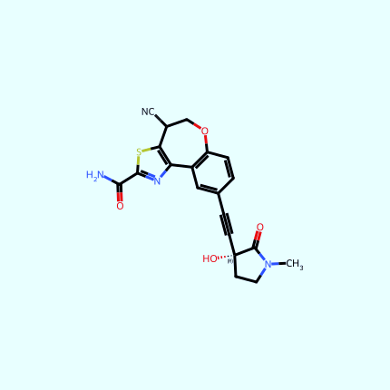 CN1CC[C@@](O)(C#Cc2ccc3c(c2)-c2nc(C(N)=O)sc2C(C#N)CO3)C1=O